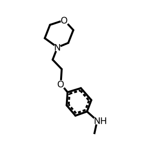 CNc1ccc(OCCN2CCOCC2)cc1